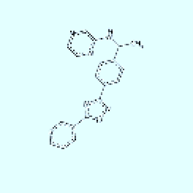 CC(Nc1cnccn1)c1ccc(-c2noc(-c3ccccc3)n2)cc1